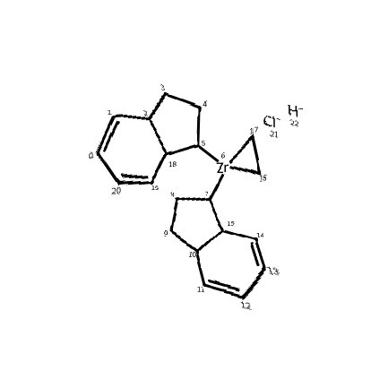 C1=CC2CC[CH]([Zr]3([CH]4CCC5C=CC=CC54)[CH2][CH2]3)C2C=C1.[Cl-].[H-]